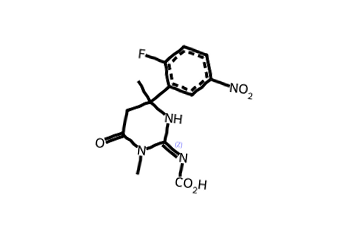 CN1C(=O)CC(C)(c2cc([N+](=O)[O-])ccc2F)N/C1=N/C(=O)O